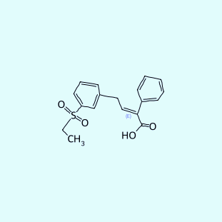 CCS(=O)(=O)c1cccc(C/C=C(/C(=O)O)c2ccccc2)c1